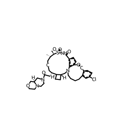 C[C@@H]1[C@@H](C)CCC[C@@H](CC(=O)N2CCN3CCOC[C@H]3C2)[C@@H]2CC[C@H]2CN2CCCCc3cc(Cl)ccc3COc3ccc(cc32)C(=O)NS1(=O)=O